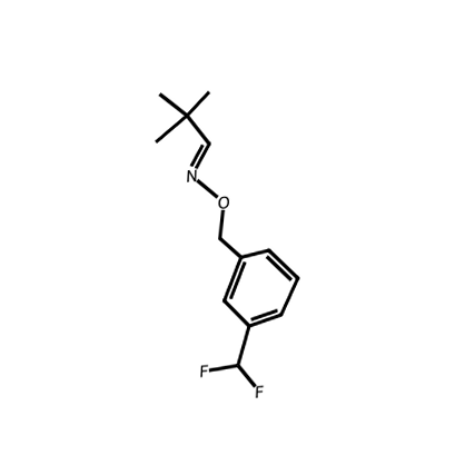 CC(C)(C)C=NOCc1cccc(C(F)F)c1